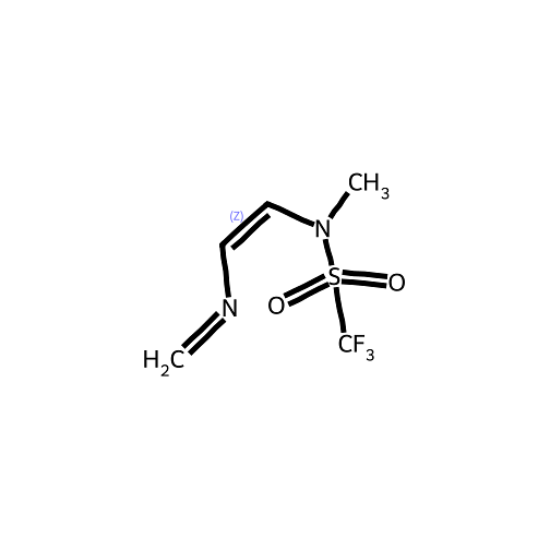 C=N/C=C\N(C)S(=O)(=O)C(F)(F)F